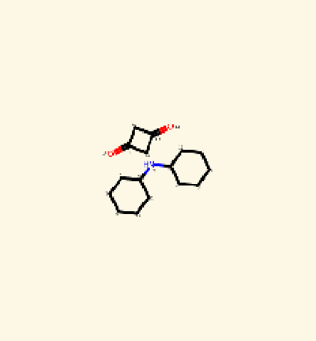 C1CCC(NC2CCCCC2)CC1.O=C1CC(=O)C1